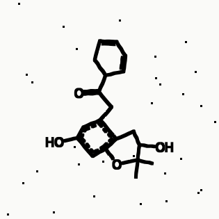 CC1(C)Oc2cc(O)cc(CC(=O)C3C=CC=CC3)c2CC1O